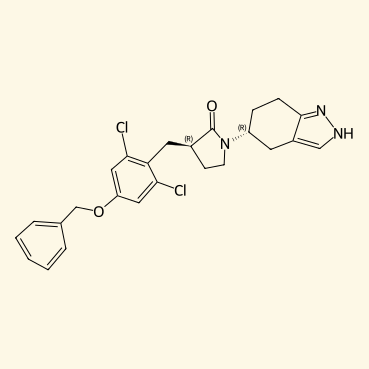 O=C1[C@H](Cc2c(Cl)cc(OCc3ccccc3)cc2Cl)CCN1[C@@H]1CCc2n[nH]cc2C1